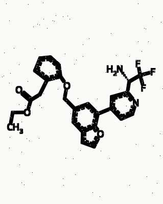 CCOC(=O)Cc1ccccc1OCc1cc(-c2ccnc([C@H](N)C(F)(F)F)c2)c2occc2c1